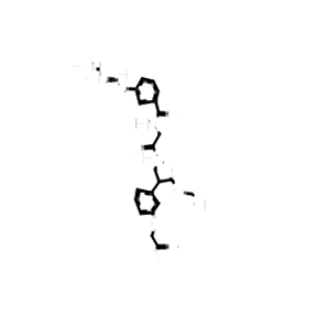 CCOC(=O)C(CNC(=O)CNC(=O)c1cccc(NC=NN)c1)c1cccc(OCC(=O)O)c1